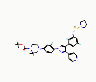 CC(C)(C)OC(=O)N1CCN(c2ccc(-n3cc(-c4cc(F)cc(NS(=O)(=O)N5CCCC5)c4F)c(-c4ccncc4)n3)c(F)c2)CC1(C)C